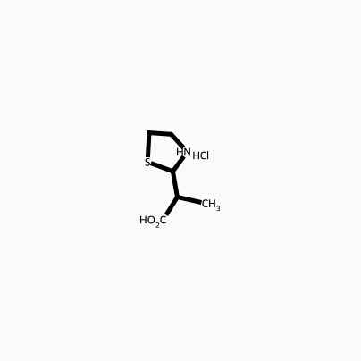 CC(C(=O)O)C1NCCS1.Cl